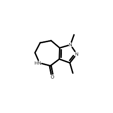 Cc1nn(C)c2c1C(=O)NCCC2